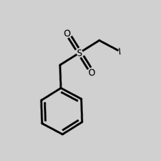 O=S(=O)(CI)Cc1ccccc1